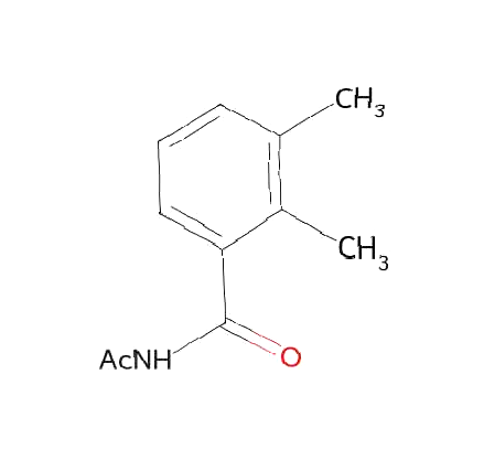 CC(=O)NC(=O)c1cccc(C)c1C